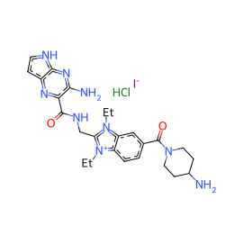 CCn1c(CNC(=O)c2nc3cc[nH]c3nc2N)[n+](CC)c2ccc(C(=O)N3CCC(N)CC3)cc21.Cl.[I-]